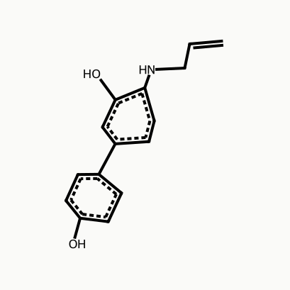 C=CCNc1ccc(-c2ccc(O)cc2)cc1O